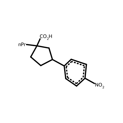 CCCC1(C(=O)O)CCC(c2ccc([N+](=O)[O-])cc2)C1